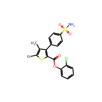 CCc1sc(C(=O)Oc2ccccc2Cl)c(-c2ccc(S(N)(=O)=O)cc2)c1C